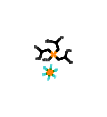 CCCCCC[P+](CC(CC)CCCC)(CC(CC)CCCC)CC(CC)CCCC.F[P-](F)(F)(F)(F)F